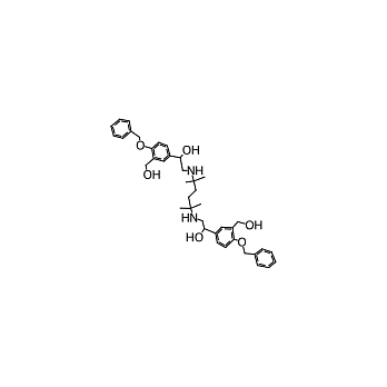 CC(C)(CCC(C)(C)NCC(O)c1ccc(OCc2ccccc2)c(CO)c1)NCC(O)c1ccc(OCc2ccccc2)c(CO)c1